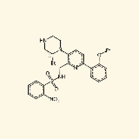 CCOc1ccccc1-c1ccc(N2CCNC[C@H]2CC)c(CNS(=O)(=O)c2ccccc2[N+](=O)[O-])n1